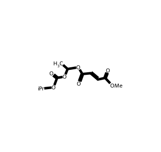 COC(=O)/C=C/C(=O)OC(C)OC(=O)OC(C)C